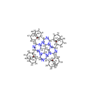 c1ccc(-c2nc(-c3ccccc3)nc(C(c3nc(-c4ccccc4)nc(-c4ccccc4)n3)(c3nc(-c4ccccc4)nc(-c4ccccc4)n3)c3nc(-c4ccccc4)nc(-c4ccccc4)n3)n2)cc1